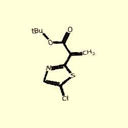 C=C(C(=O)OC(C)(C)C)c1ncc(Cl)s1